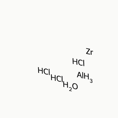 Cl.Cl.Cl.O.[AlH3].[Zr]